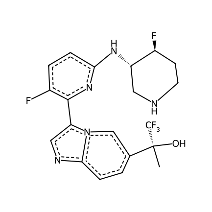 C[C@](O)(c1ccc2ncc(-c3nc(N[C@H]4CNCC[C@@H]4F)ccc3F)n2c1)C(F)(F)F